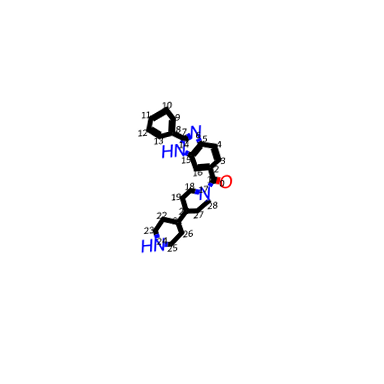 O=C(c1ccc2nc(-c3ccccc3)[nH]c2c1)N1CCC(C2CCNCC2)CC1